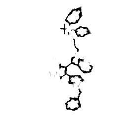 CC(C)(C)[Si](OCCCn1cc(C2=C(c3ccn(Cc4ccccc4)c3)C(=O)NC2=O)c2cccnc21)(c1ccccc1)c1ccccc1